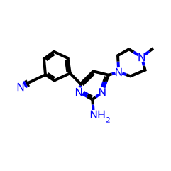 CN1CCN(c2cc(-c3cccc(C#N)c3)nc(N)n2)CC1